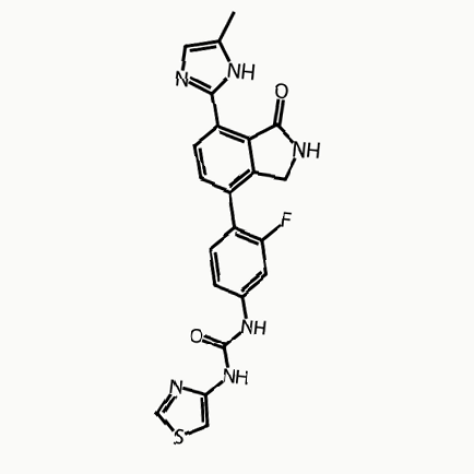 Cc1cnc(-c2ccc(-c3ccc(NC(=O)Nc4cscn4)cc3F)c3c2C(=O)NC3)[nH]1